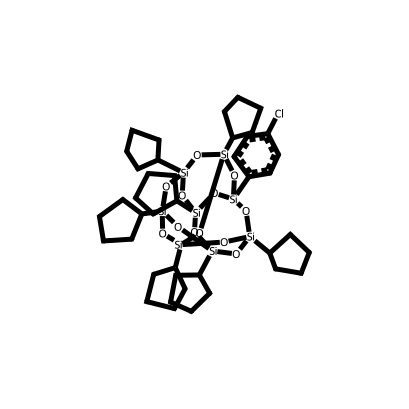 Clc1ccc([Si]23O[Si]4(C5CCCC5)O[Si]5(C6CCCC6)O[Si](C6CCCC6)(O2)O[Si]2(C6CCCC6)O[Si](C6CCCC6)(O3)O[Si](C3CCCC3)(O4)O[Si](C3CCCC3)(O5)O2)cc1